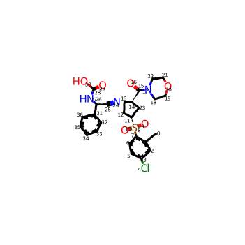 Cc1cc(Cl)ccc1S(=O)(=O)[C@@H]1CC[C@@H](C(=O)N2CCOCC2)C1.N#C[C@H](NC(=O)O)c1ccccc1